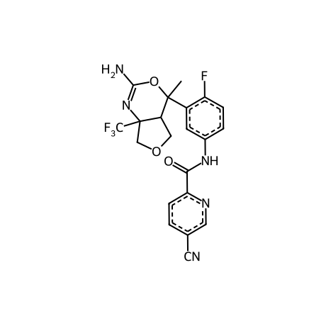 CC1(c2cc(NC(=O)c3ccc(C#N)cn3)ccc2F)OC(N)=NC2(C(F)(F)F)COCC12